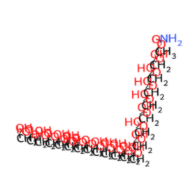 C=CC(=O)O.C=CC(=O)O.C=CC(=O)O.C=CC(=O)O.C=CC(=O)O.C=CC(=O)O.C=CC(=O)O.C=CC(=O)O.C=CC(=O)O.C=CC(=O)O.C=CC(=O)O.C=CC(=O)O.C=CC(=O)O.C=CC(=O)O.C=CC(=O)O.C=CC(=O)O.C=CC(=O)O.C=CC(=O)O.C=CC(=O)O.C=CC(=O)O.CCOC(N)=O